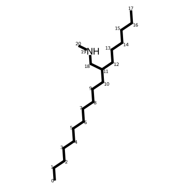 CCCCCCCCCCCC(CCCCCC)CNC